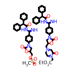 CCOC(=O)CN1CCN(CC2CN(c3ccc(C(=N)NC(=O)C(c4ccccc4)c4ccccc4)cc3)C(=O)O2)CC1=O.CS(=O)(=O)OCC1CN(c2ccc(C(=N)NC(=O)C(c3ccccc3)c3ccccc3)cc2)C(=O)O1